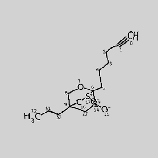 C#CCCCCC12OCC(CCC)(C[S+]1[O-])C[S+]2[O-]